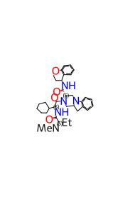 CC[C@H](NC)C(=O)N[C@H](C(=O)N1CC2Cc3ccccc3N2C[C@H]1C(=O)NC1CCOc2ccccc21)C1CCCCC1